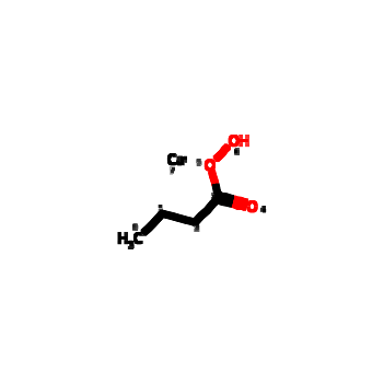 CCCC(=O)OO.[Ca]